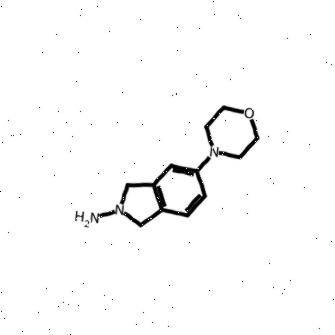 NN1Cc2ccc(N3CCOCC3)cc2C1